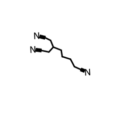 N#CCCCCC(CC#N)CC#N